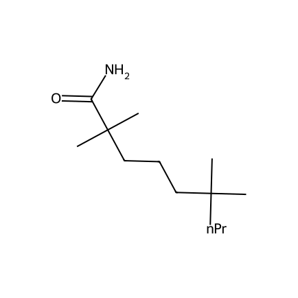 CCCC(C)(C)CCCC(C)(C)C(N)=O